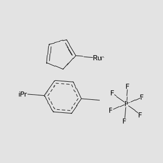 Cc1ccc(C(C)C)cc1.F[P-](F)(F)(F)(F)F.[Ru+][C]1=CC=CC1